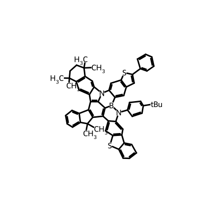 CC(C)(C)c1ccc(N2B3c4cc5cc(-c6ccccc6)sc5cc4-n4c5cc6c(cc5c5c7c(c(c3c54)-c3cc4sc5ccccc5c4cc32)C(C)(C)c2ccccc2-7)C(C)(C)CCC6(C)C)cc1